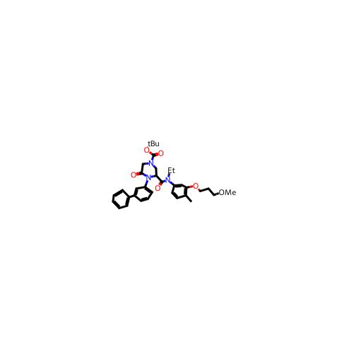 CCN(C(=O)C1CN(C(=O)OC(C)(C)C)CC(=O)N1c1cccc(-c2ccccc2)c1)c1ccc(C)c(OCCCOC)c1